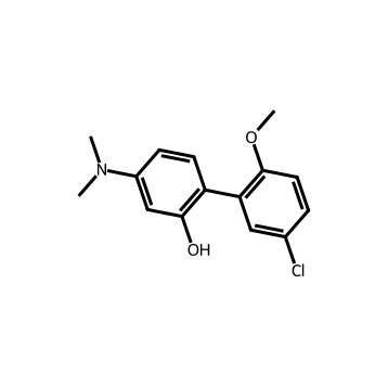 COc1ccc(Cl)cc1-c1ccc(N(C)C)cc1O